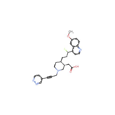 COc1ccc2nccc([C@H](F)CC[C@@H]3CCN(CC#Cc4ccnnc4)C[C@@H]3CC(=O)O)c2c1